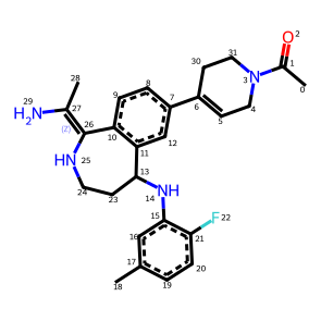 CC(=O)N1CC=C(c2ccc3c(c2)C(Nc2cc(C)ccc2F)CCN/C3=C(/C)N)CC1